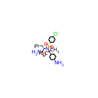 CC(C)C[C@H](C(N)=O)N(C(C)(C)c1ccc(N)cc1)S(=O)(=O)c1ccc(Cl)cc1